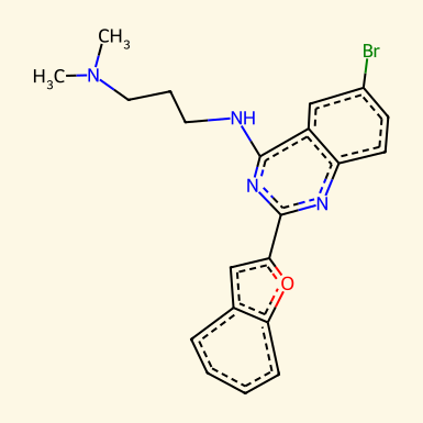 CN(C)CCCNc1nc(-c2cc3ccccc3o2)nc2ccc(Br)cc12